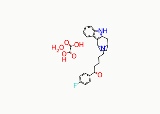 O.O=C(CCCCN1C2CCC1c1c([nH]c3ccccc13)C2)c1ccc(F)cc1.O=C(O)C(=O)O